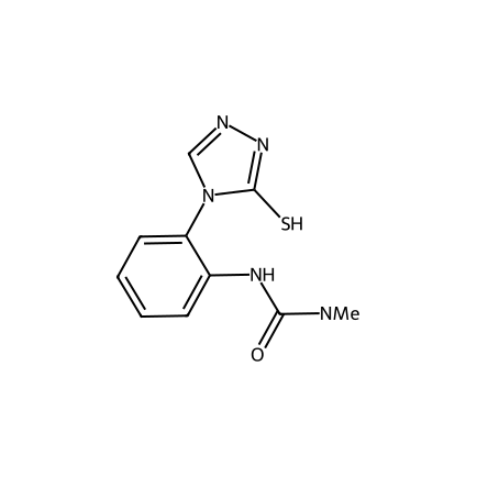 CNC(=O)Nc1ccccc1-n1cnnc1S